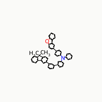 CC1(C)c2ccccc2-c2cc(-c3cccc(-c4cccc(N(c5ccccc5)c5ccc(-c6ccc7oc8ccccc8c7c6)cc5)c4)c3)ccc21